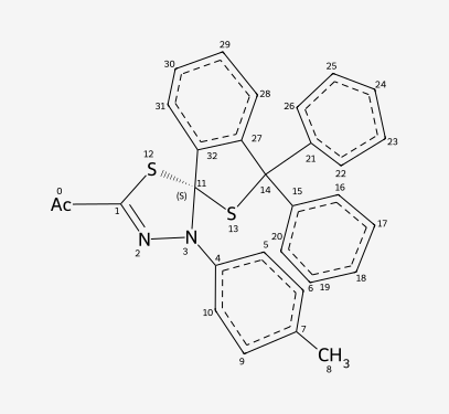 CC(=O)C1=NN(c2ccc(C)cc2)[C@]2(S1)SC(c1ccccc1)(c1ccccc1)c1ccccc12